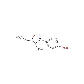 CCCCCC1C(c2ccc(O)cc2)=NOC1CC(=O)O